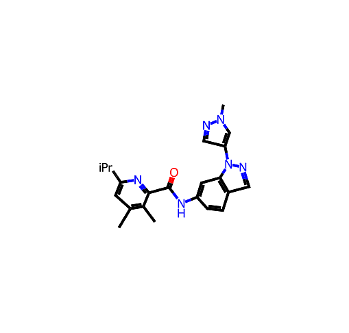 Cc1cc(C(C)C)nc(C(=O)Nc2ccc3cnn(-c4cnn(C)c4)c3c2)c1C